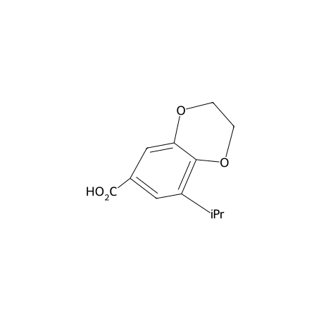 CC(C)c1cc(C(=O)O)cc2c1OCCO2